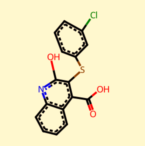 O=C(O)c1c(Sc2cccc(Cl)c2)c(O)nc2ccccc12